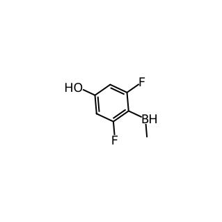 CBc1c(F)cc(O)cc1F